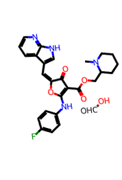 CN1CCCCC1COC(=O)C1=C(Nc2ccc(F)cc2)OC(=Cc2c[nH]c3ncccc23)C1=O.O=CO